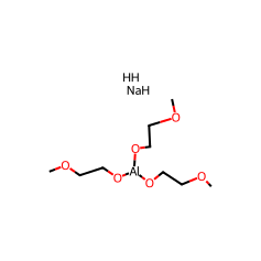 COCC[O][Al]([O]CCOC)[O]CCOC.[HH].[NaH]